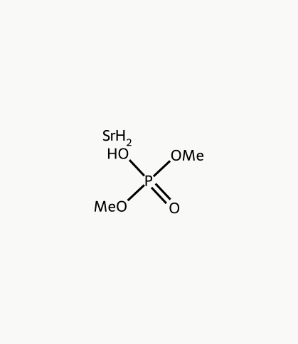 COP(=O)(O)OC.[SrH2]